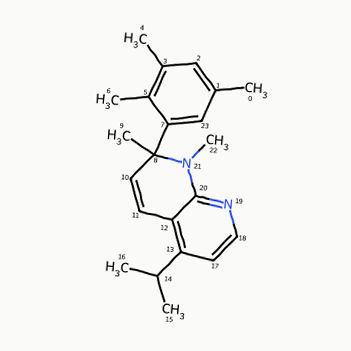 Cc1cc(C)c(C)c(C2(C)C=Cc3c(C(C)C)ccnc3N2C)c1